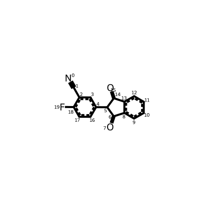 N#Cc1cc(C2C(=O)c3ccccc3C2=O)ccc1F